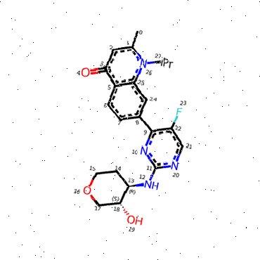 Cc1cc(=O)c2ccc(-c3nc(N[C@@H]4CCOC[C@H]4O)ncc3F)cc2n1C(C)C